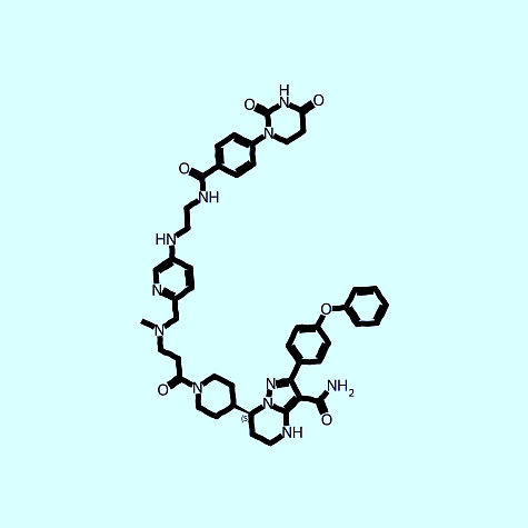 CN(CCC(=O)N1CCC([C@@H]2CCNc3c(C(N)=O)c(-c4ccc(Oc5ccccc5)cc4)nn32)CC1)Cc1ccc(NCCNC(=O)c2ccc(N3CCC(=O)NC3=O)cc2)cn1